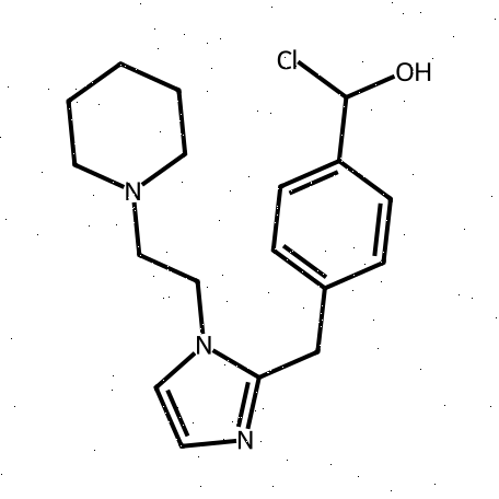 OC(Cl)c1ccc(Cc2nccn2CCN2CCCCC2)cc1